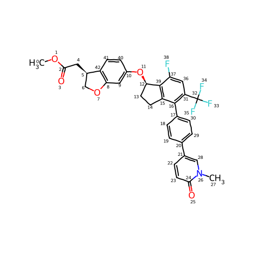 COC(=O)C[C@@H]1COc2cc(O[C@@H]3CCc4c(-c5ccc(-c6ccc(=O)n(C)c6)cc5)c(C(F)(F)F)cc(F)c43)ccc21